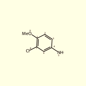 COc1ccc([NH])cc1Cl